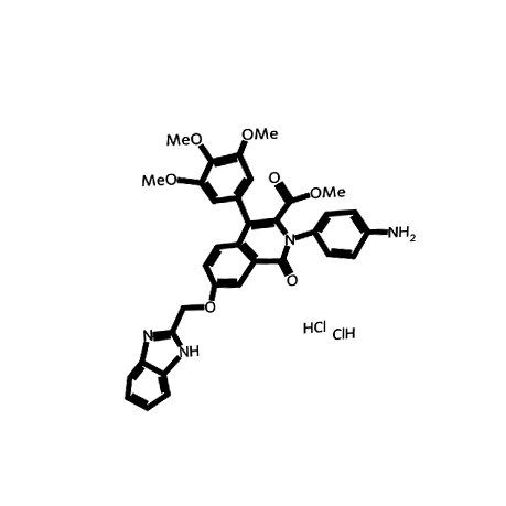 COC(=O)c1c(-c2cc(OC)c(OC)c(OC)c2)c2ccc(OCc3nc4ccccc4[nH]3)cc2c(=O)n1-c1ccc(N)cc1.Cl.Cl